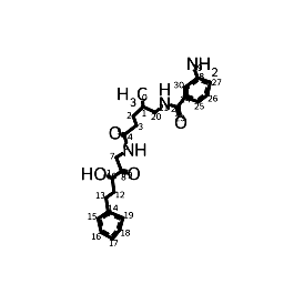 CC(CCC(=O)NCC(=O)C(O)CCc1ccccc1)CNC(=O)c1cccc(N)c1